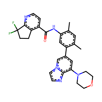 Cc1cc(C)c(-c2cc(N3CCOCC3)c3nccn3c2)cc1NC(=O)c1ccnc2c1CCC2(F)F